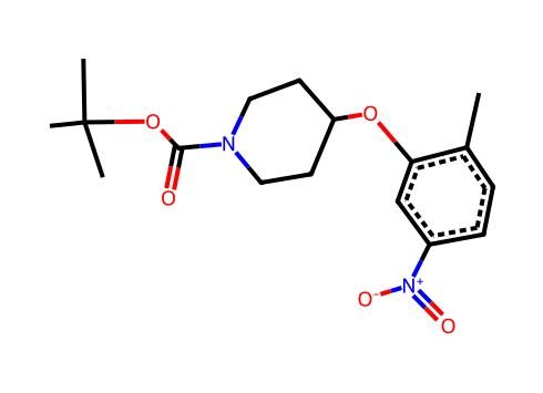 Cc1ccc([N+](=O)[O-])cc1OC1CCN(C(=O)OC(C)(C)C)CC1